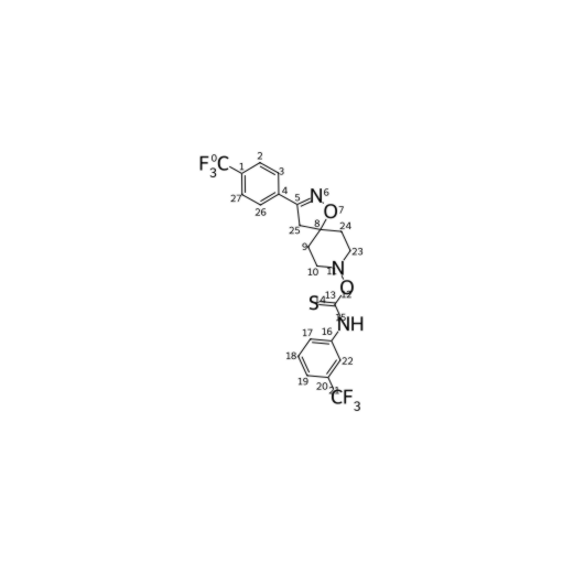 FC(F)(F)c1ccc(C2=NOC3(CCN(OC(=S)Nc4cccc(C(F)(F)F)c4)CC3)C2)cc1